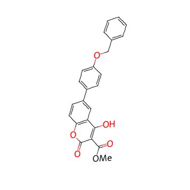 COC(=O)c1c(O)c2cc(-c3ccc(OCc4ccccc4)cc3)ccc2oc1=O